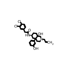 C=CCN1CCC2(c3cccc(O)c3)C[C@@H](NC(=O)Cc3ccc(Cl)c(Cl)c3)CCC2(O)C1